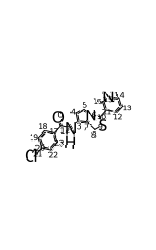 O=C(Nc1ccn2c1CSC2c1cccnc1)c1ccc(Cl)cc1